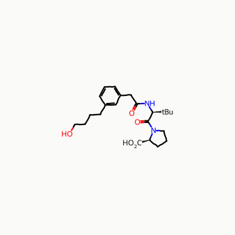 CC(C)(C)[C@H](NC(=O)Cc1cccc(CCCCO)c1)C(=O)N1CCC[C@H]1C(=O)O